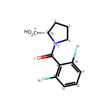 O=C(O)[C@@H]1CCCN1C(=O)c1c(F)cccc1F